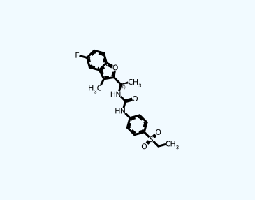 CCS(=O)(=O)c1ccc(NC(=O)N[C@H](C)c2oc3ccc(F)cc3c2C)cc1